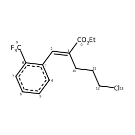 CCOC(=O)C(=Cc1ccccc1C(F)(F)F)CCCCl